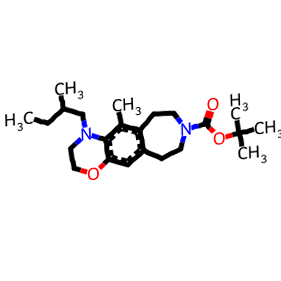 CCC(C)CN1CCOc2cc3c(c(C)c21)CCN(C(=O)OC(C)(C)C)CC3